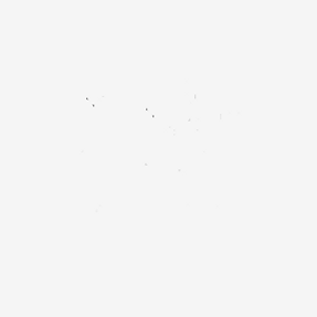 N#CC(=NOS(=O)(=O)C1CCCCC1)C1CCCCC1